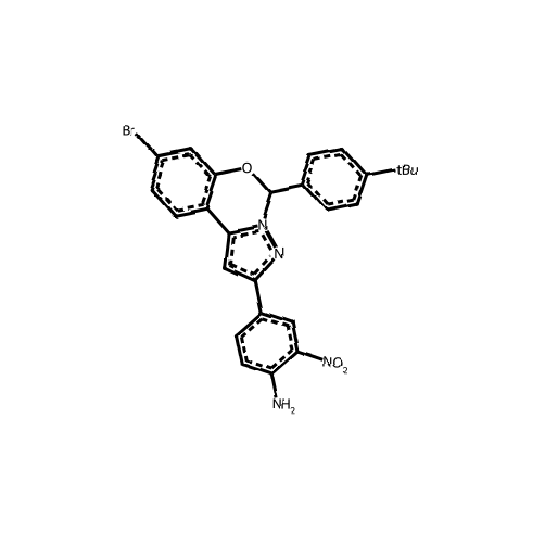 CC(C)(C)c1ccc(C2Oc3cc(Br)ccc3-c3cc(-c4ccc(N)c([N+](=O)[O-])c4)nn32)cc1